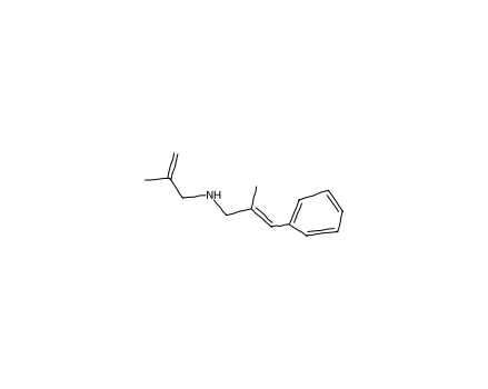 C=C(C)CNC/C(C)=C/c1ccccc1